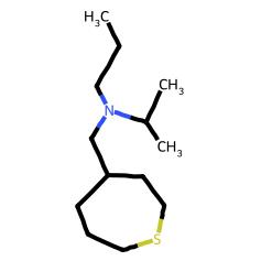 CCCN(CC1CCCSCC1)C(C)C